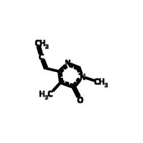 C=C=Cc1ncn(C)c(=O)c1C